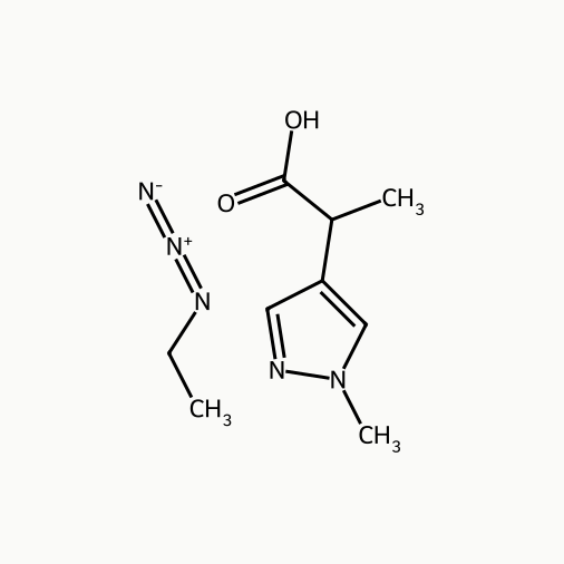 CC(C(=O)O)c1cnn(C)c1.CCN=[N+]=[N-]